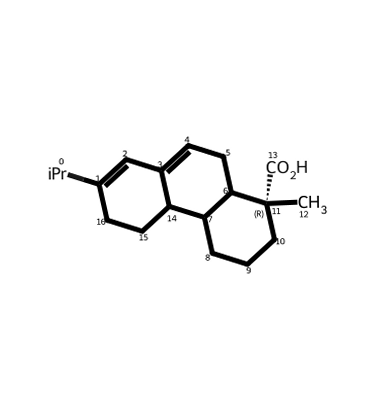 CC(C)C1=CC2=CCC3C(CCC[C@@]3(C)C(=O)O)C2CC1